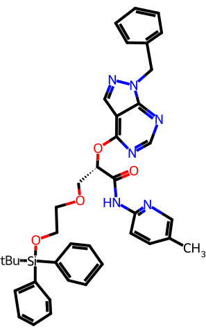 Cc1ccc(NC(=O)[C@H](COCCO[Si](c2ccccc2)(c2ccccc2)C(C)(C)C)Oc2ncnc3c2cnn3Cc2ccccc2)nc1